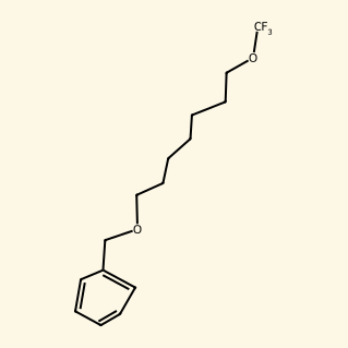 FC(F)(F)OCCCCCCCOCc1ccccc1